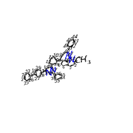 Cc1ccc2ccc3c(-c4cccc(-c5cc(-c6ccc(-c7ccccc7)cc6)nc(-c6ccccc6)n5)c4)cc(-c4ccccc4)nc3c2n1